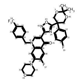 CC1(C)OCC(c2ccc(F)cc2)(c2nc(-c3cn(Cc4ccc(C(F)(F)F)cc4)c4cc(N5CCOCC5)c(F)cc4c3=O)no2)CO1